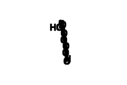 CC(C)(C)OC(O)CCOCCOCCOCCOCCN=O